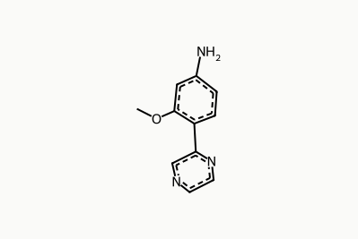 COc1cc(N)ccc1-c1cnccn1